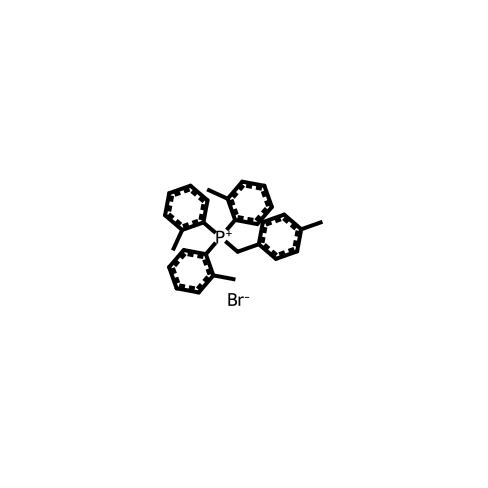 Cc1ccc(C[P+](c2ccccc2C)(c2ccccc2C)c2ccccc2C)cc1.[Br-]